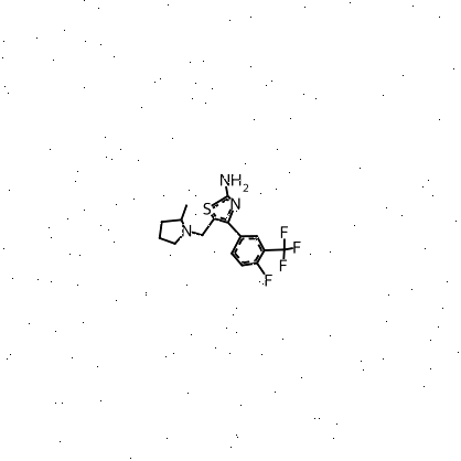 CC1CCCN1Cc1sc(N)nc1-c1ccc(F)c(C(F)(F)F)c1